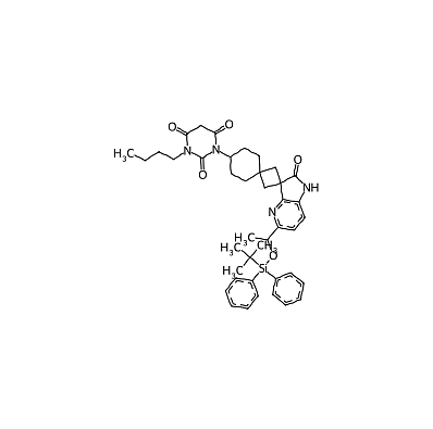 CCCCN1C(=O)CC(=O)N(C2CCC3(CC2)CC2(C3)C(=O)Nc3ccc(C(C)O[Si](c4ccccc4)(c4ccccc4)C(C)(C)C)nc32)C1=O